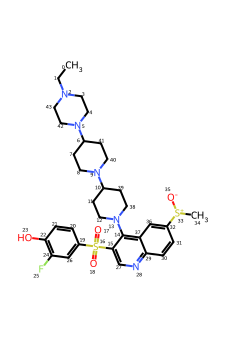 CCN1CCN(C2CCN(C3CCN(c4c(S(=O)(=O)c5ccc(O)c(F)c5)cnc5ccc([S+](C)[O-])cc45)CC3)CC2)CC1